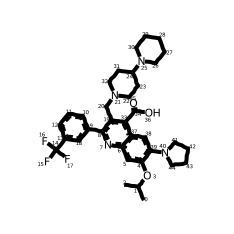 CC(C)Oc1cc2nc(-c3cccc(C(F)(F)F)c3)c(CN3CCC(N4CCCCC4)CC3)c(C(=O)O)c2cc1N1CCCC1